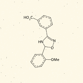 COc1ccccc1C1NC(c2cccc(C(=O)O)c2)=NO1